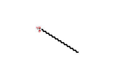 CCCCCCCCCCCCCCCCCCCCCCCCC[14C](=O)O